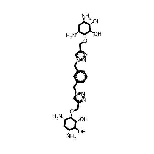 N[C@@H]1C[C@H](N)[C@@H](OCc2cn(Cc3cccc(Cn4cc(CO[C@H]5[C@H](O)[C@@H](O)[C@H](N)C[C@@H]5N)nn4)c3)nn2)[C@H](O)C1O